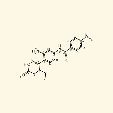 CCC1CC(=O)NN=C1c1ccc(NC(=O)c2ccc(OC)cc2)cc1N